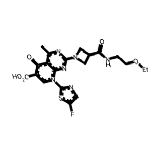 CCOCCNC(=O)C1CN(c2nc(C)c3c(=O)c(C(=O)O)cn(-c4ncc(F)s4)c3n2)C1